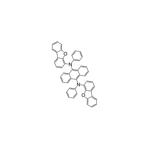 c1ccc(N(c2c3ccccc3c(N(c3ccccc3)c3cccc4c3oc3ccccc34)c3ccccc23)c2cccc3c2oc2ccccc23)cc1